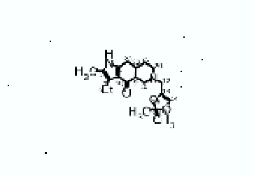 CCc1c(C)[nH]c2c1C(=O)C1CN(CC3=COC(C)(C)O3)CCC1C2